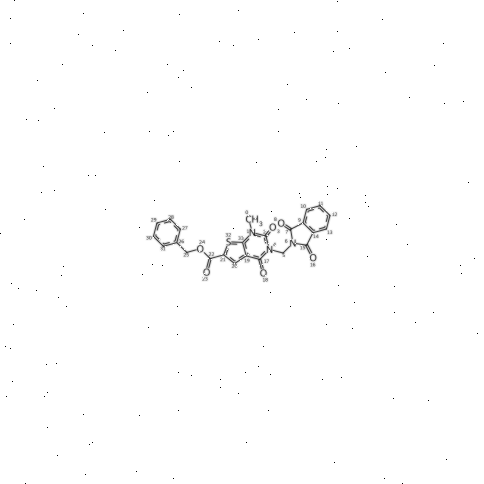 Cn1c(=O)n(CN2C(=O)c3ccccc3C2=O)c(=O)c2cc(C(=O)OCc3ccccc3)sc21